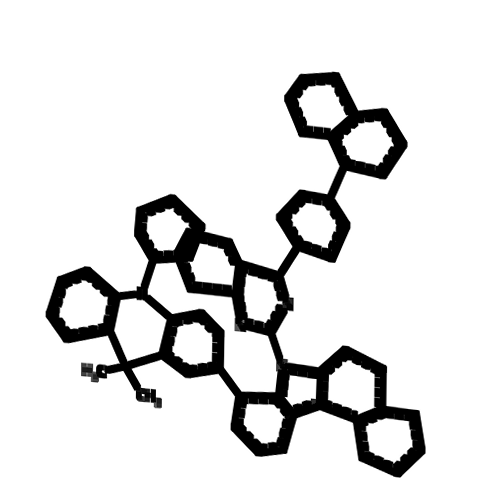 CC1(C)c2ccccc2N(c2ccccc2)c2ccc(-c3cccc4c5c6ccccc6ccc5n(-c5nc(-c6ccc(-c7cccc8ccccc78)cc6)c6ccccc6n5)c34)cc21